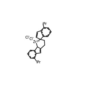 CC(C)c1cccc2c1C=C1CC[C]3(C=Cc4c(C(C)C)cccc43)[Zr+2][CH]12.[Cl-].[Cl-]